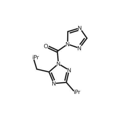 CC(C)Cc1nc(C(C)C)nn1C(=O)n1cncn1